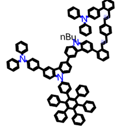 CCCCn1c2ccc(-c3ccc4c(c3)c3cc(-c5ccc(N(c6ccccc6)c6ccccc6)cc5)ccc3n4-c3ccc(-c4c(-c5ccccc5)c(-c5ccccc5)c(-c5ccccc5)c(-c5ccccc5)c4-c4ccccc4)cc3)cc2c2cc(-c3ccccc3/C=C/c3ccc(/C=C/c4ccccc4-c4ccc(N(c5ccccc5)c5ccccc5)cc4)cc3)ccc21